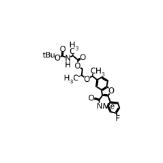 CNC(=O)c1c(-c2ccc(F)cc2)oc2ccc([C@H](C)O[C@@H](C)COC(=O)[C@H](C)NC(=O)OC(C)(C)C)cc12